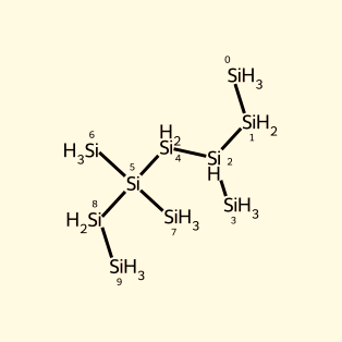 [SiH3][SiH2][SiH]([SiH3])[SiH2][Si]([SiH3])([SiH3])[SiH2][SiH3]